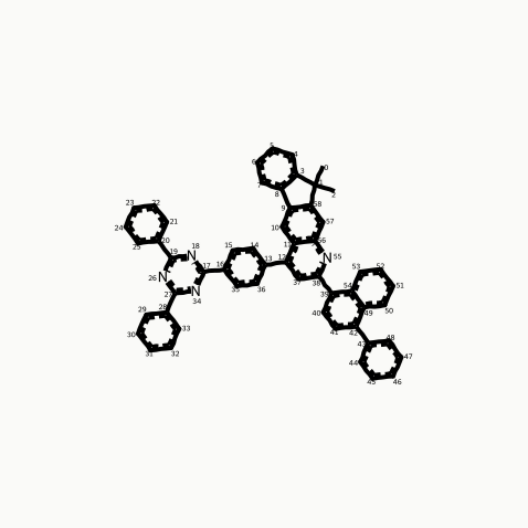 CC1(C)c2ccccc2-c2cc3c(-c4ccc(-c5nc(-c6ccccc6)nc(-c6ccccc6)n5)cc4)cc(-c4ccc(-c5ccccc5)c5ccccc45)nc3cc21